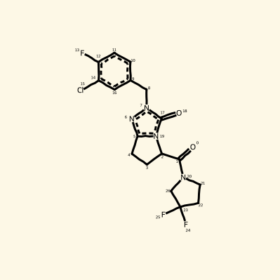 O=C(C1CCc2nn(Cc3ccc(F)c(Cl)c3)c(=O)n21)N1CCC(F)(F)C1